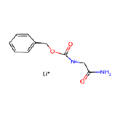 NC(=O)C[N-]C(=O)OCc1ccccc1.[Li+]